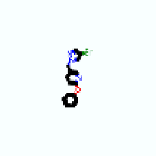 Brc1cnn(Cc2ccc(Oc3ccccc3)nc2)c1